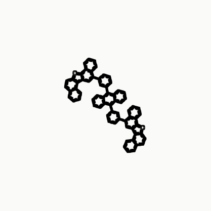 c1cc(-c2c3ccccc3c(-c3cccc(-c4cc5c(oc6ccc7ccccc7c65)c5ccccc45)c3)c3ccccc23)cc(-c2cc3c(oc4ccc5ccccc5c43)c3ccccc23)c1